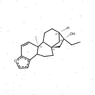 CC[C@@]1(O)C[C@@]23CCC4c5ccoc5C=C[C@@]4(C)C2CC[C@@H]1C3